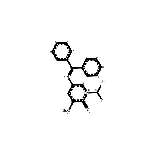 CC(C)COc1cc(N=C(c2ccccc2)c2ccccc2)cn(C(F)F)c1=O